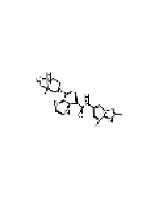 Cc1cn2cc(NC(=O)c3ccc(N4CCNC(C)(CO)C4)c4nccnc34)cc(F)c2n1